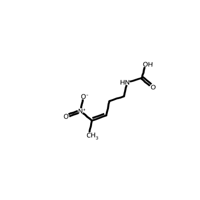 CC(=CCCNC(=O)O)[N+](=O)[O-]